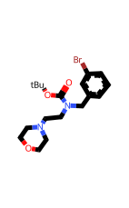 CC(C)(C)OC(=O)N(CCN1CCOCC1)Cc1cccc(Br)c1